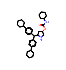 O=C(NC1CCCCC1)O[C@H]1CNC(C(c2ccc(C3CCCCC3)cc2)c2ccc(C3CCCCC3)cc2)C1